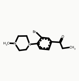 CCC(=O)c1ccc(N2CCN(C)CC2)c(Br)c1